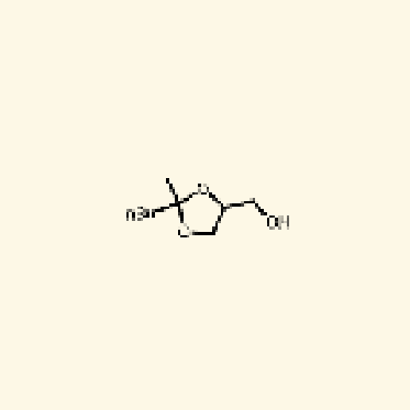 CCCCC1(C)OCC(CO)O1